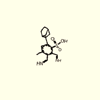 Cc1cc(C2=C3CCC(C3)C2)c(S(=O)(=O)O)c(C=N)c1C=N